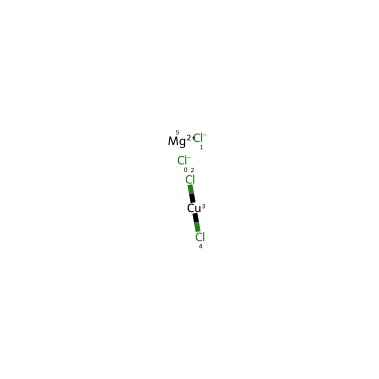 [Cl-].[Cl-].[Cl][Cu][Cl].[Mg+2]